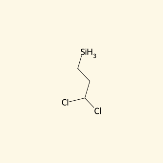 [SiH3]CCC(Cl)Cl